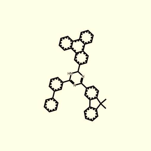 CC1(C)c2ccccc2-c2cc(C3=NC(c4ccc5c6ccccc6c6ccccc6c5c4)NC(c4cccc(-c5ccccc5)c4)=N3)ccc21